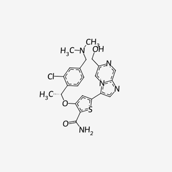 C[C@@H](Oc1cc(-c2cnc3cnc(CO)cn23)sc1C(N)=O)c1ccc(CN(C)C)cc1Cl